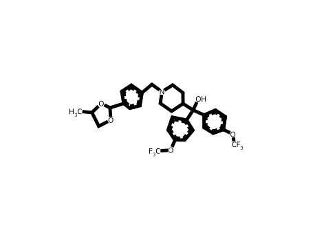 CC1COC(c2ccc(CN3CCC(C(O)(c4ccc(OC(F)(F)F)cc4)c4ccc(OC(F)(F)F)cc4)CC3)cc2)O1